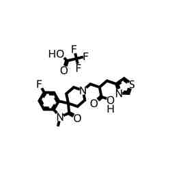 CN1C(=O)C2(CCN(CC(Cc3cscn3)C(=O)O)CC2)c2cc(F)ccc21.O=C(O)C(F)(F)F